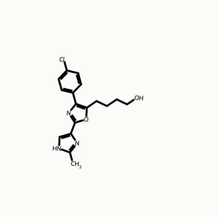 Cc1nc(-c2nc(-c3ccc(Cl)cc3)c(CCCCO)o2)c[nH]1